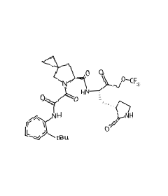 CC(C)(C)c1ccccc1NC(=O)C(=O)N1CC2(CC2)C[C@H]1C(=O)N[C@@H](C[C@@H]1CCNC1=O)C(=O)COC(F)(F)F